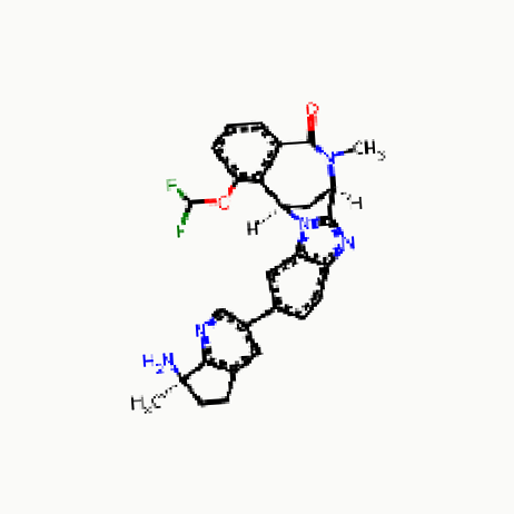 CN1C(=O)c2cccc(OC(F)F)c2[C@H]2C[C@@H]1c1nc3ccc(-c4cnc5c(c4)CC[C@@]5(C)N)cc3n12